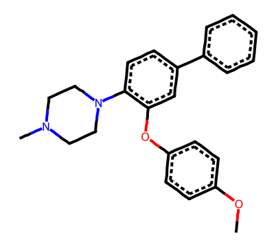 COc1ccc(Oc2cc(-c3ccccc3)ccc2N2CCN(C)CC2)cc1